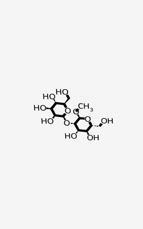 CO[C@H]1O[C@H](CO)[C@@H](O)[C@H](O)[C@@H]1O[C@@H]1O[C@H](CO)[C@@H](O)[C@H](O)[C@@H]1O